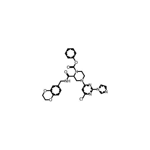 O=C(NCc1ccc2c(c1)OCCO2)C1CN(c2cc(Cl)nc(-n3ccnc3)n2)CCN1C(=O)Oc1ccccc1